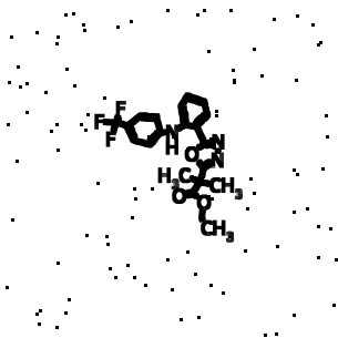 CCOC(=O)C(C)(C)c1nnc(-c2ccccc2Nc2ccc(C(F)(F)F)cc2)o1